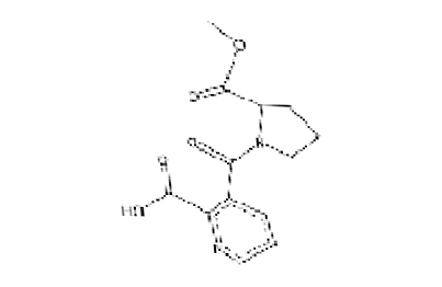 COC(=O)C1CCCN1C(=O)c1cccnc1C(=O)O